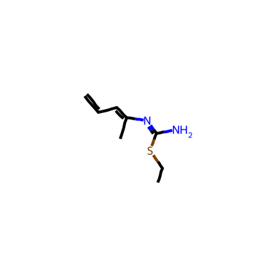 C=C/C=C(C)/N=C(/N)SCC